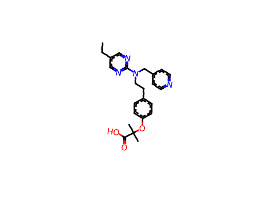 CCc1cnc(N(CCc2ccc(OC(C)(C)C(=O)O)cc2)Cc2ccncc2)nc1